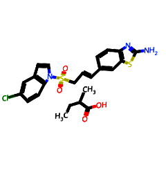 CCC(C)C(=O)O.Nc1nc2ccc(C=CCS(=O)(=O)n3ccc4cc(Cl)ccc43)cc2s1